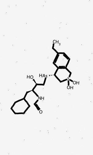 CCc1ccc2c(c1)[C@@H]([AsH]C[C@H](O)[C@H](CC1CCCCC1)NC=O)CS(O)(O)C2